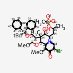 COCOC1c2c(OC)c(=O)c(Br)cn2C(CC(C)OS(C)(=O)=O)C(O)C1(C)CCO[Si](c1ccccc1)(c1ccccc1)C(C)(C)C